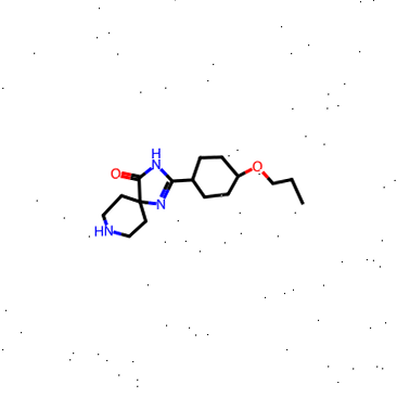 CCCOC1CCC(C2=NC3(CCNCC3)C(=O)N2)CC1